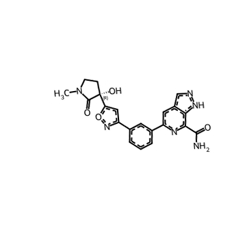 CN1CC[C@@](O)(c2cc(-c3cccc(-c4cc5cn[nH]c5c(C(N)=O)n4)c3)no2)C1=O